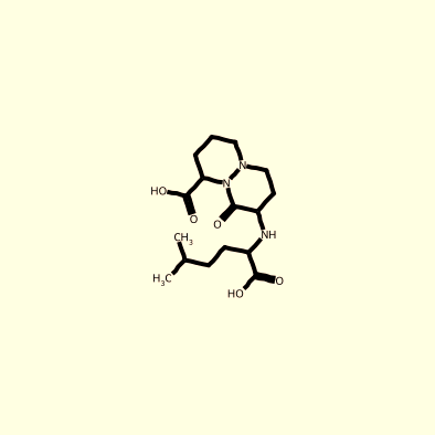 CC(C)CCC(NC1CCN2CCCC(C(=O)O)N2C1=O)C(=O)O